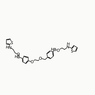 B(OCCNc1cccs1)c1ccc(COCCOc2ccc(BOCCNc3cccs3)cc2)cc1